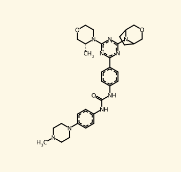 C[C@@H]1COCCN1c1nc(-c2ccc(NC(=O)Nc3ccc(N4CCN(C)CC4)cc3)cc2)nc(N2C3CCC2COC3)n1